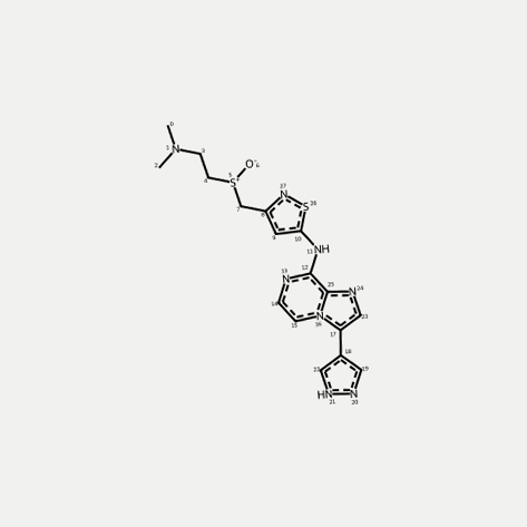 CN(C)CC[S+]([O-])Cc1cc(Nc2nccn3c(-c4cn[nH]c4)cnc23)sn1